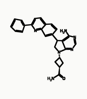 Nc1ncnc2c1C(c1ccc3ccc(-c4ccccc4)nc3c1)CN2[C@H]1C[C@H](C(N)=O)C1